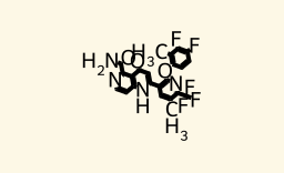 Cc1cc(-c2cc(=O)c3c(C(N)=O)nccc3[nH]2)c(Oc2ccc(F)c(F)c2C)nc1C(F)(F)F